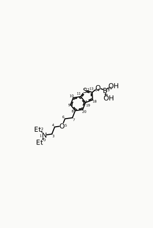 CCN(CC)CCOCCc1ccc2sc(OB(O)O)cc2c1